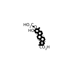 CC1=C(OCC(=O)O)C(O)C=C2C1=CC=C1[C@@]2(C)CC[C@@]2(C)[C@@H]3C[C@](C)(C(=O)O)CC[C@]3(C)CC[C@]12C